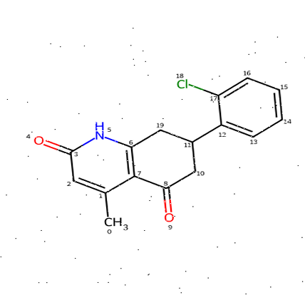 Cc1cc(=O)[nH]c2c1C(=O)CC(c1ccccc1Cl)C2